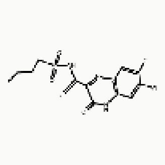 CCCCS(=O)(=O)NC(=O)c1nc2cc(Cl)c(Cl)cc2[nH]c1=O